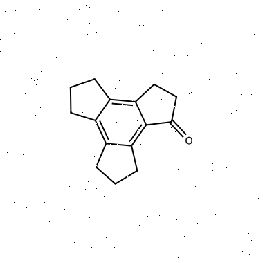 O=C1CCc2c3c(c4c(c21)CCC4)CCC3